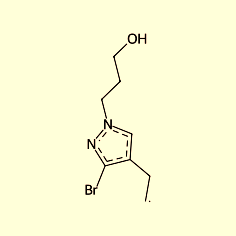 [CH2]Cc1cn(CCCO)nc1Br